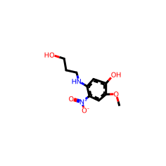 COc1cc([N+](=O)[O-])c(NCCCO)cc1O